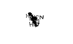 N#Cc1ccc2c(c1)nc(NCc1ccccc1)c1ncc(-c3ccc(C(=O)NC4CC4)c(Cl)c3)n12